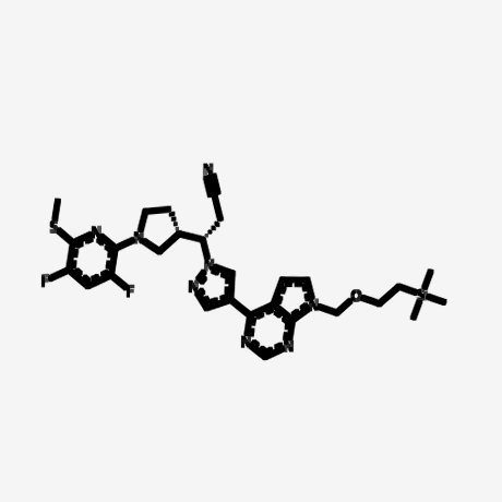 CSc1nc(N2CC[C@H]([C@H](CC#N)n3cc(-c4ncnc5c4ccn5COCC[Si](C)(C)C)cn3)C2)c(F)cc1F